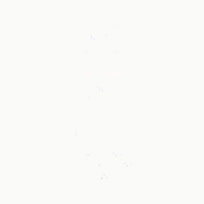 O=S(=O)(c1cnc(Cl)s1)N1CCC(c2cn3ncnc3cc2Cl)CC1